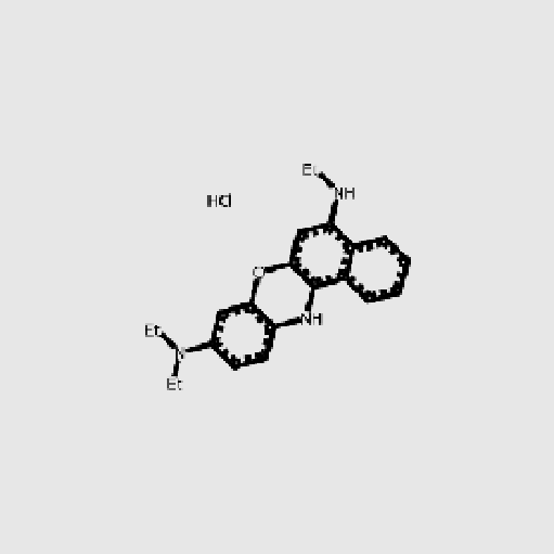 CCNc1cc2c(c3ccccc13)Nc1ccc(N(CC)CC)cc1O2.Cl